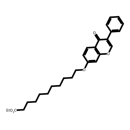 CCOC(=O)CCCCCCCCCCOc1ccc2c(=O)c(-c3ccccc3)coc2c1